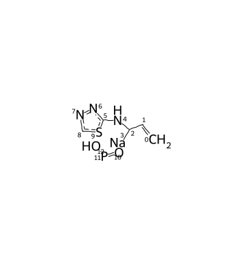 C=C[CH]([Na])Nc1nncs1.O=PO